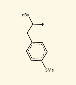 CCCCC(CC)Cc1ccc(SC)cc1